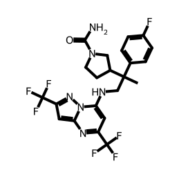 CC(CNc1cc(C(F)(F)F)nc2cc(C(F)(F)F)nn12)(c1ccc(F)cc1)C1CCN(C(N)=O)C1